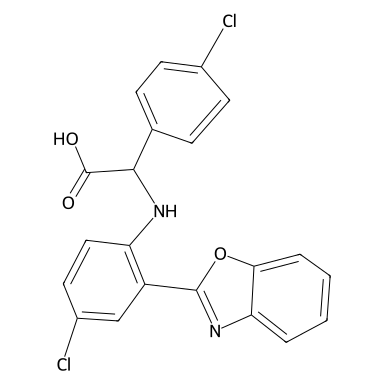 O=C(O)C(Nc1ccc(Cl)cc1-c1nc2ccccc2o1)c1ccc(Cl)cc1